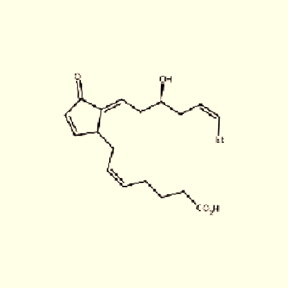 CC/C=C\C[C@H](O)C/C=C1/C(=O)C=CC1C/C=C\CCCC(=O)O